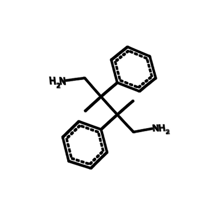 CC(CN)(c1ccccc1)C(C)(CN)c1ccccc1